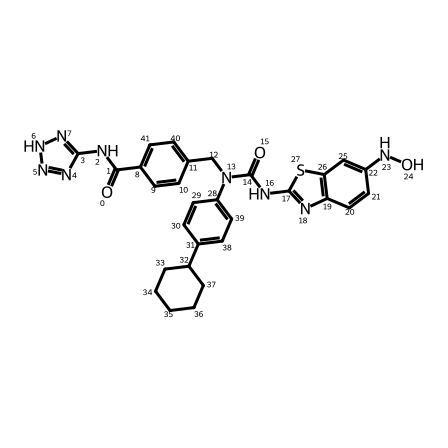 O=C(Nc1nn[nH]n1)c1ccc(CN(C(=O)Nc2nc3ccc(NO)cc3s2)c2ccc(C3CCCCC3)cc2)cc1